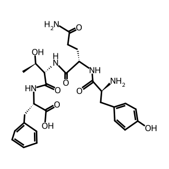 C[C@@H](O)[C@H](NC(=O)[C@H](CCC(N)=O)NC(=O)[C@@H](N)Cc1ccc(O)cc1)C(=O)N[C@@H](Cc1ccccc1)C(=O)O